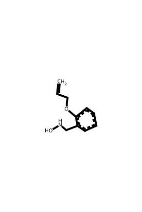 C=CCOc1ccccc1CNO